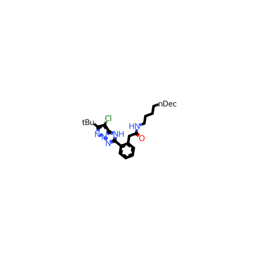 CCCCCCCCCCCCCCNC(=O)Cc1ccccc1-c1nn2nc(C(C)(C)C)c(Cl)c2[nH]1